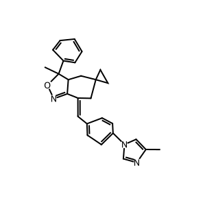 Cc1cn(-c2ccc(/C=C3\CC4(CC4)CC4C3=NOC4(C)c3ccccc3)cc2)cn1